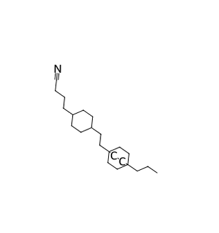 CCCC12CCC(CCC3CCC(CCCC#N)CC3)(CC1)CC2